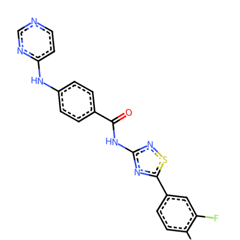 O=C(Nc1nsc(-c2ccc(F)c(F)c2)n1)c1ccc(Nc2ccncn2)cc1